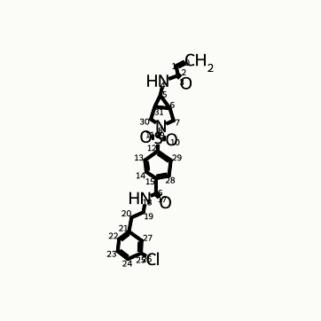 C=CC(=O)NC1C2CN(S(=O)(=O)c3ccc(C(=O)NCCc4cccc(Cl)c4)cc3)CC21